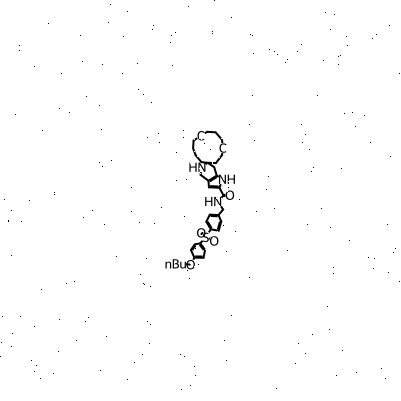 CCCCOc1ccc(S(=O)(=O)c2ccc(CNC(=O)c3cc4c([nH]3)CC3(CCCCCCCCCCC3)NC4)cc2)cc1